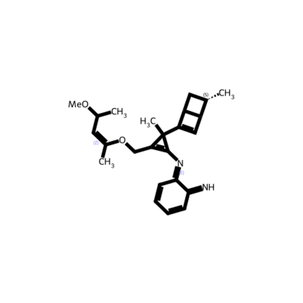 COC(C)/C=C(/C)OCC1=C(/N=C2\C=CC=CC2=N)C1(C)C1=CC2C1C[C@@H]2C